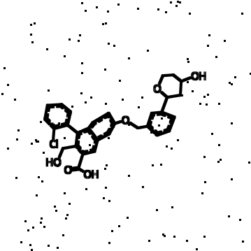 O=C(O)c1cc2cc(OCc3cccc(C4CC(O)CCO4)c3)ccc2c(-c2ccccc2Cl)c1CO